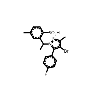 Cc1ccc(S(=O)(=O)O)c(C(C)n2nc(C)c(Br)c2-c2ccc(F)cc2)c1